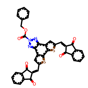 O=C1C(=Cc2cc3c4nn(C(=O)OCc5ccccc5)nc4c4cc(C=C5C(=O)c6ccccc6C5=O)sc4c3s2)C(=O)c2ccccc21